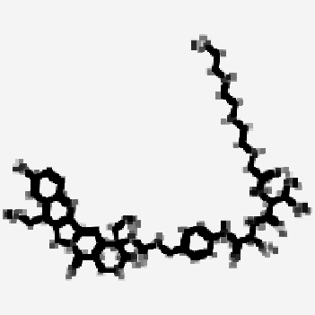 CCc1c2c(nc3ccc(O)cc13)-c1cc3c(c(=O)n1C2)COC(=O)[C@@]3(CC)OC(=O)OCc1ccc(NC(=O)[C@H](C)NC(=O)[C@@H](NC(=O)COCCOCCOCCN)C(C)C)cc1